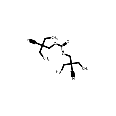 CCC(C#N)(CC)CO[PH](=O)OCC(C#N)(CC)CC